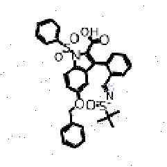 CC(C)(C)[S+]([O-])/N=C/c1ccccc1-c1c(C(=O)O)n(S(=O)(=O)c2ccccc2)c2ccc(OCc3ccccc3)cc12